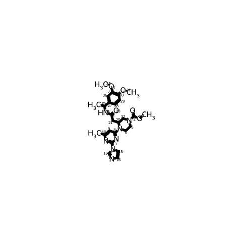 COC(=O)N1CCN(c2cc(C)nc(-n3ccnc3)n2)C(CC(=O)NC(C)c2ccc(OC)c(OC)c2)C1